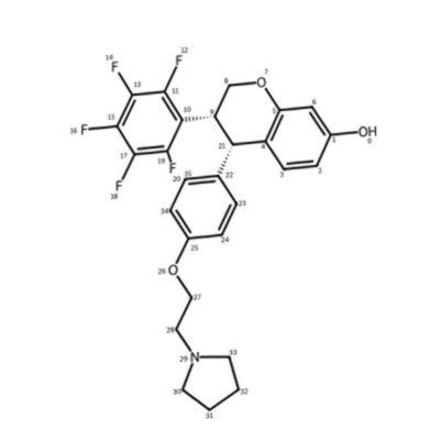 Oc1ccc2c(c1)OC[C@@H](c1c(F)c(F)c(F)c(F)c1F)[C@H]2c1ccc(OCCN2CCCC2)cc1